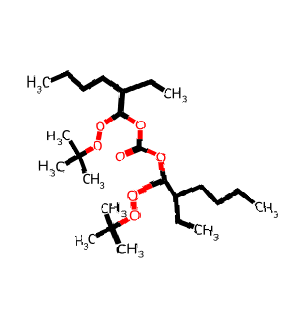 CCCCC(CC)C(OOC(C)(C)C)OC(=O)OC(OOC(C)(C)C)C(CC)CCCC